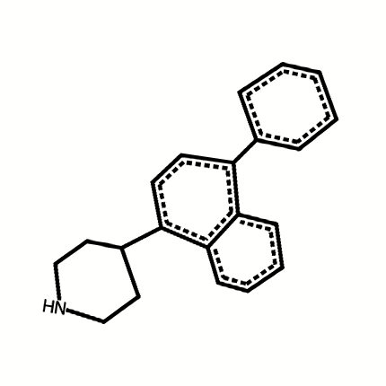 c1ccc(-c2ccc(C3CCNCC3)c3ccccc23)cc1